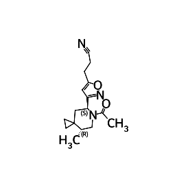 CC(=O)N1C[C@H](C)C2(CC2)C[C@H]1c1cc(CCC#N)on1